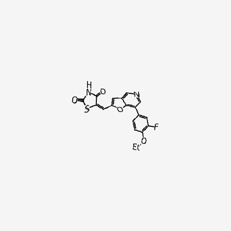 CCOc1ccc(-c2cncc3cc(C=C4SC(=O)NC4=O)oc23)cc1F